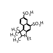 CCN1c2cc(S(=O)(=O)O)c3cc(S(=O)(=O)O)ccc3c2C(C)(C)C1C